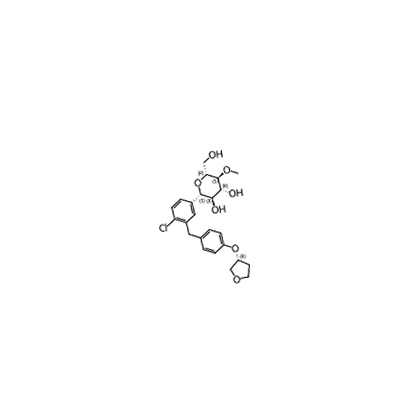 CO[C@H]1[C@H](O)[C@@H](O)[C@H](c2ccc(Cl)c(Cc3ccc(O[C@@H]4CCOC4)cc3)c2)O[C@@H]1CO